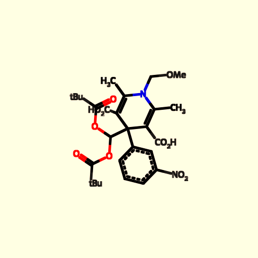 COCN1C(C)=C(C(=O)O)C(c2cccc([N+](=O)[O-])c2)(C(OC(=O)C(C)(C)C)OC(=O)C(C)(C)C)C(C(=O)O)=C1C